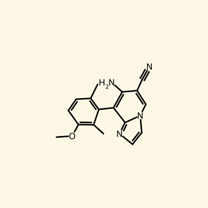 COc1ccc(C)c(-c2c(N)c(C#N)cn3ccnc23)c1C